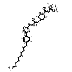 CCCCCCCCCCc1ccc(-c2noc(CNC(=O)CN3CCN(C(=O)OC(C)(C)C)CC3)n2)cc1